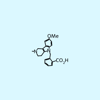 COc1ccc2c(c1)c1c(n2Cc2ccccc2C(=O)O)CCN(C)C1